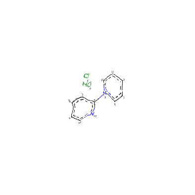 Cl.[Cl-].c1cc[n+](-c2ccccn2)cc1